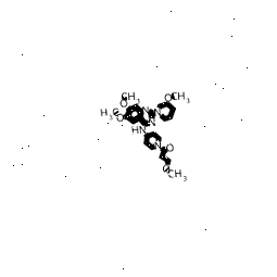 COCCC(=O)N1CCC(Nc2nc(N3CCCC(OC)C3)nc3cc(OC)c(OC)cc23)CC1